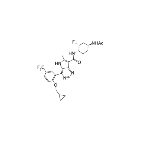 CC(=O)N[C@H]1CC[C@H](NC(=O)c2c(C)[nH]c3c(-c4cc(C(F)(F)F)ccc4OCC4CC4)ncnc23)[C@H](F)C1